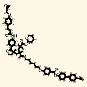 CCC(C)(CC(C)(CC(C)(C)C(=O)OC1CCCCO1)C(=O)OCCCCCCOc1ccc(C(=O)Oc2ccc(-c3ccc(C#N)cc3)cc2)cc1)C(=O)c1ccc(NC(=O)/C=C/c2ccc(OCC3CO3)cc2)cc1